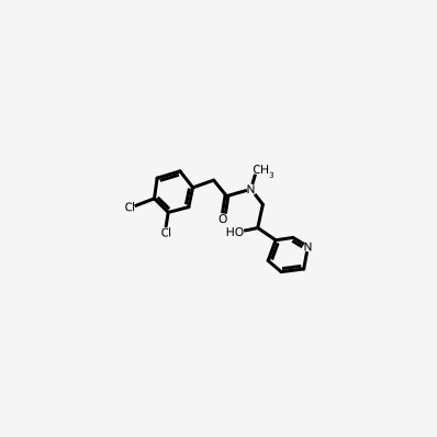 CN(CC(O)c1cccnc1)C(=O)Cc1ccc(Cl)c(Cl)c1